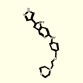 c1cc(OCCN2CCOCC2)ccc1Nc1cc2[nH]c(-c3cn[nH]c3)cc2cn1